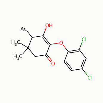 CC(=O)C1C(O)=C(Oc2ccc(Cl)cc2Cl)C(=O)CC1(C)C